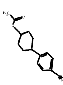 CC(=O)OC1CCC(c2ccc(C#N)cc2)CC1